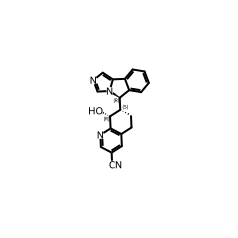 N#Cc1cnc2c(c1)CC[C@@H]([C@@H]1c3ccccc3-c3cncn31)[C@H]2O